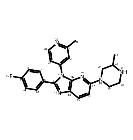 Cc1cc(-n2c(-c3ccc(F)cc3)nc3ccc(N4CCNC(C)C4)nc32)ccn1